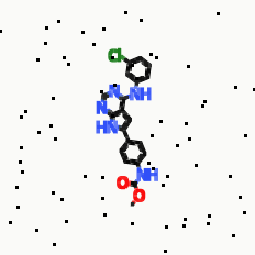 COC(=O)Nc1ccc(-c2cc3c(Nc4cccc(Cl)c4)ncnc3[nH]2)cc1